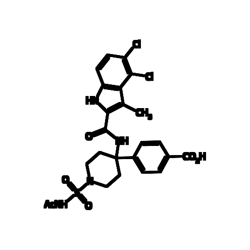 CC(=O)NS(=O)(=O)N1CCC(NC(=O)c2[nH]c3ccc(Cl)c(Cl)c3c2C)(c2ccc(C(=O)O)cc2)CC1